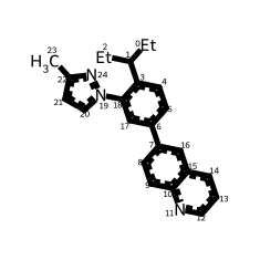 CCC(CC)c1ccc(-c2ccc3ncccc3c2)cc1-n1ccc(C)n1